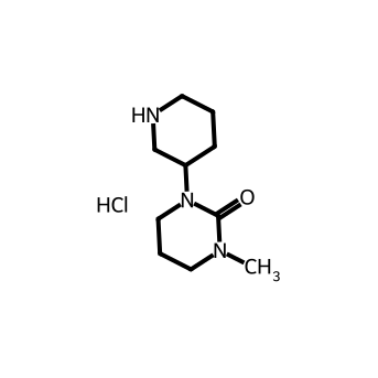 CN1CCCN(C2CCCNC2)C1=O.Cl